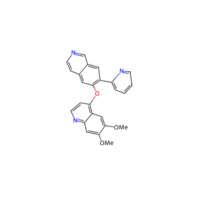 COc1cc2nccc(Oc3cc4ccncc4cc3-c3ccccn3)c2cc1OC